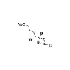 CCNOC(CC)(CC)C(CC)OCCOC